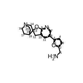 NCc1ccc(-c2cnc3c(c2)CC2(CN4CCC2CC4)O3)o1